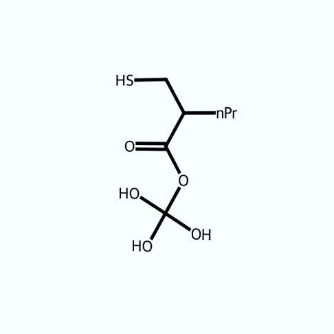 CCCC(CS)C(=O)OC(O)(O)O